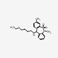 CCOCCCCNC1c2ccccc2N(C)S(=O)(=O)c2cc(C)ccc21